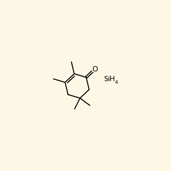 CC1=C(C)C(=O)CC(C)(C)C1.[SiH4]